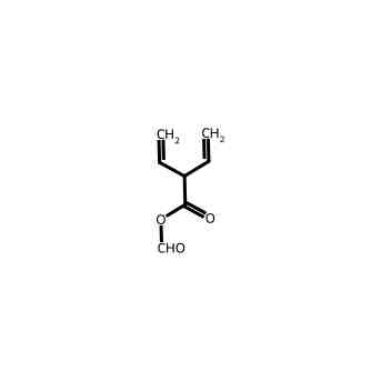 C=CC(C=C)C(=O)OC=O